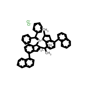 CC1=Cc2c(-c3cccc4ccccc34)ccc(C)c2[CH]1[Zr+2](=[C](c1ccccc1)c1ccccc1)[CH]1C(C(C)C)=Cc2c(-c3cccc4ccccc34)cccc21.[Cl-].[Cl-]